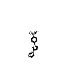 O=[N+]([O-])c1ccc(-n2ccc(-n3ccnc3)c2)cc1